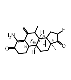 C=C1C2=C(N)C(=O)CC[C@]2(C)[C@@H]2CC[C@]3(C)C(=O)C(F)C[C@H]3[C@@H]2C1C